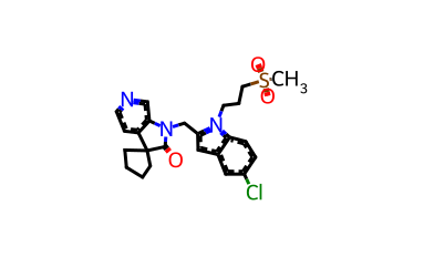 CS(=O)(=O)CCCn1c(CN2C(=O)C3(CCCC3)c3ccncc32)cc2cc(Cl)ccc21